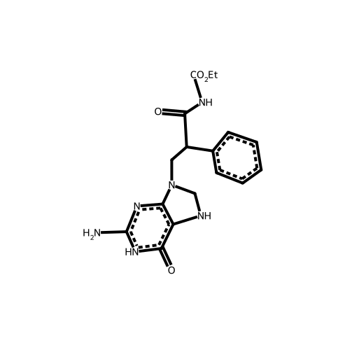 CCOC(=O)NC(=O)C(CN1CNc2c1nc(N)[nH]c2=O)c1ccccc1